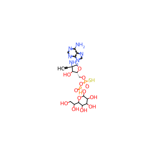 C#C[C@@]1(N)[C@H](O)[C@@H](COP(=O)(S)O[PH](=O)OC2OC([C@@H](O)CO)C(O)C(O)C2O)O[C@H]1n1cnc2c(N)ncnc21